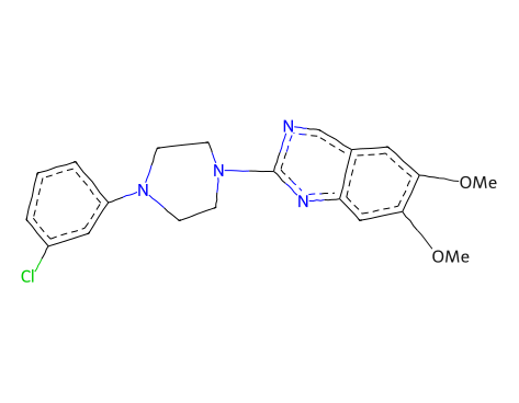 COc1cc2cnc(N3CCN(c4cccc(Cl)c4)CC3)nc2cc1OC